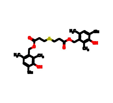 Cc1cc(C(C)(C)C)c(O)c(C)c1COC(=O)CCSCCC(=O)OCc1c(C)cc(C(C)(C)C)c(O)c1C